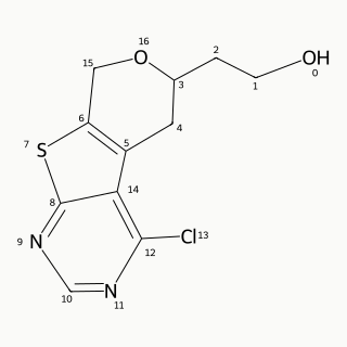 OCCC1Cc2c(sc3ncnc(Cl)c23)CO1